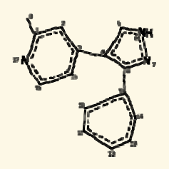 Cc1cc(-c2c[nH]nc2-c2ccccc2)ccn1